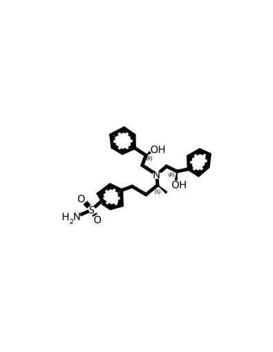 C[C@@H](CCc1ccc(S(N)(=O)=O)cc1)N(C[C@H](O)c1ccccc1)C[C@H](O)c1ccccc1